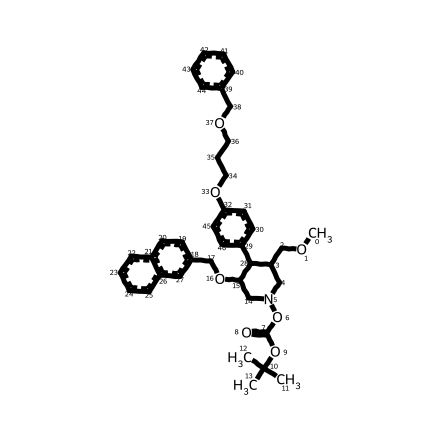 COCC1CN(OC(=O)OC(C)(C)C)CC(OCc2ccc3ccccc3c2)C1c1ccc(OCCCOCc2ccccc2)cc1